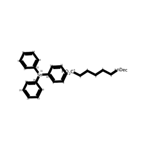 CCCCCCCCCCCCCCCC(=O)O.c1cc[c]([Sn]([c]2ccccc2)[c]2ccccc2)cc1